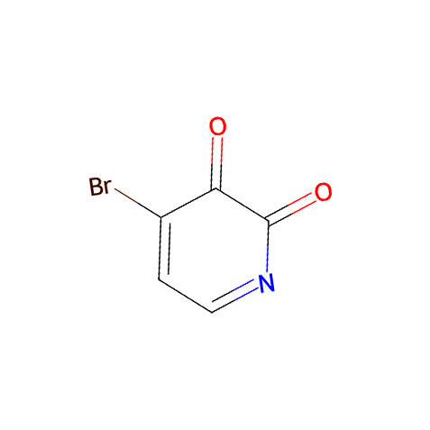 O=C1N=CC=C(Br)C1=O